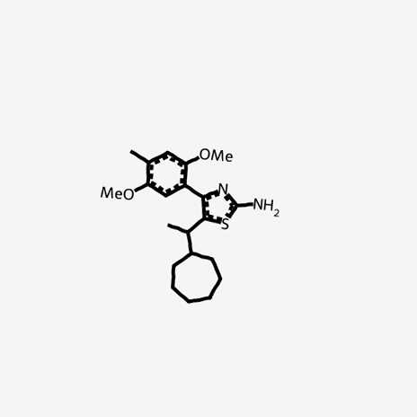 COc1cc(-c2nc(N)sc2C(C)C2CCCCCC2)c(OC)cc1C